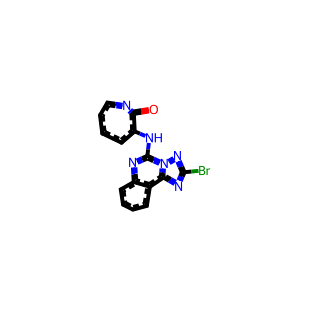 O=c1nccccc1Nc1nc2ccccc2c2nc(Br)nn12